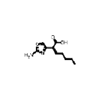 CCCCC=C(C(=O)O)c1csc(N)n1